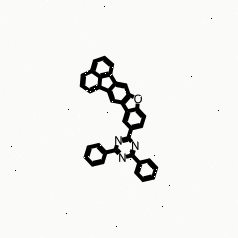 c1ccc(-c2nc(-c3ccccc3)nc(-c3ccc4oc5cc6c(cc5c4c3)-c3cccc4cccc-6c34)n2)cc1